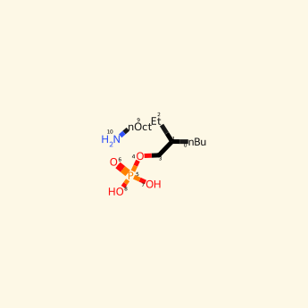 CCCCC(CC)COP(=O)(O)O.CCCCCCCCN